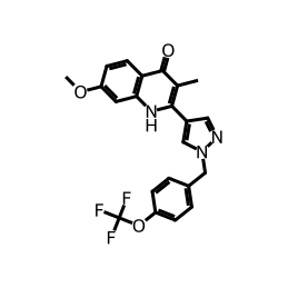 COc1ccc2c(=O)c(C)c(-c3cnn(Cc4ccc(OC(F)(F)F)cc4)c3)[nH]c2c1